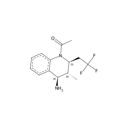 CC(=O)N1c2ccccc2[C@H](N)[C@@H](C)[C@@H]1CC(F)(F)F